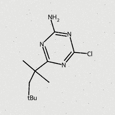 CC(C)(C)CC(C)(C)c1nc(N)nc(Cl)n1